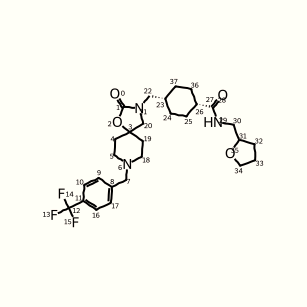 O=C1OC2(CCN(Cc3ccc(C(F)(F)F)cc3)CC2)CN1C[C@H]1CC[C@@H](C(=O)NCC2CCCO2)CC1